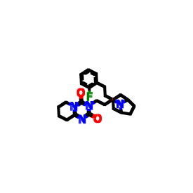 O=c1nc2n(c(=O)n1CCCN1C3CCC1CC(CCc1ccccc1F)C3)CCCC2